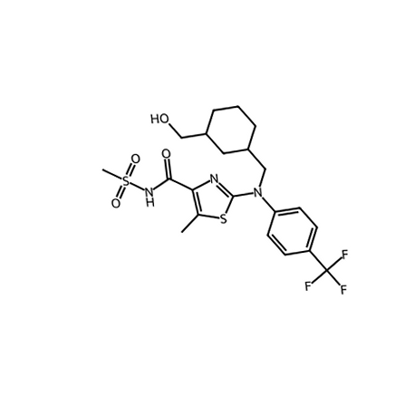 Cc1sc(N(CC2CCCC(CO)C2)c2ccc(C(F)(F)F)cc2)nc1C(=O)NS(C)(=O)=O